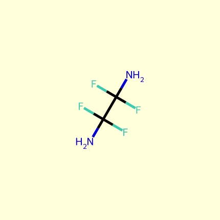 NC(F)(F)C(N)(F)F